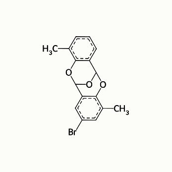 Cc1cccc2c1OC1OC2Oc2c(C)cc(Br)cc21